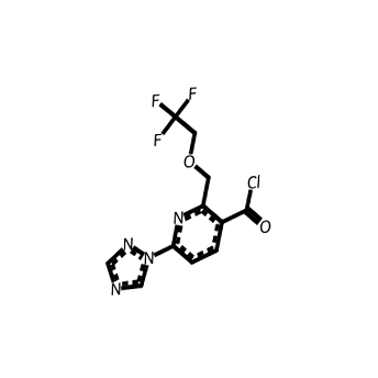 O=C(Cl)c1ccc(-n2cncn2)nc1COCC(F)(F)F